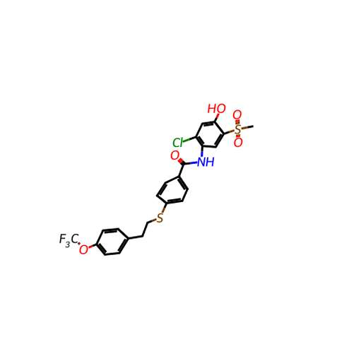 CS(=O)(=O)c1cc(NC(=O)c2ccc(SCCc3ccc(OC(F)(F)F)cc3)cc2)c(Cl)cc1O